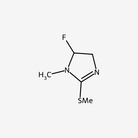 CSC1=NCC(F)N1C